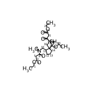 CCOC(=O)CC(=O)N(C)CC1CCCC1(CN(C)C(=O)CC(=O)OCC)C(=O)OCC